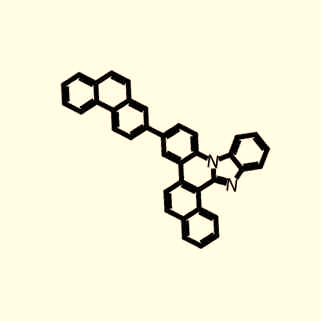 c1ccc2c(c1)ccc1cc(-c3ccc4c(c3)c3ccc5ccccc5c3c3nc5ccccc5n43)ccc12